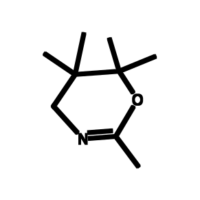 CC1=NCC(C)(C)C(C)(C)O1